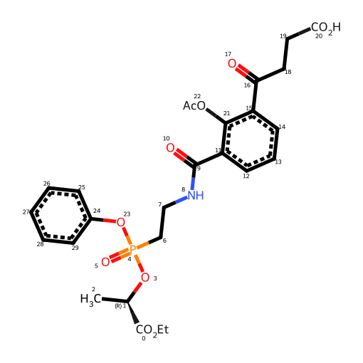 CCOC(=O)[C@@H](C)OP(=O)(CCNC(=O)c1cccc(C(=O)CCC(=O)O)c1OC(C)=O)Oc1ccccc1